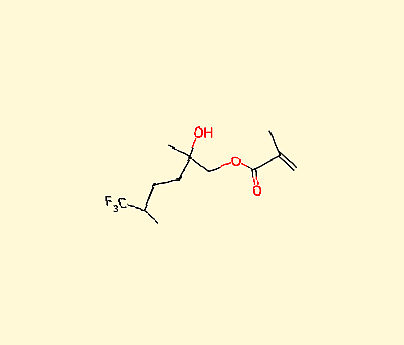 C=C(C)C(=O)OCC(C)(O)CCC(C)C(F)(F)F